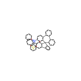 c1ccc(N(c2ccccc2)c2ccc3c(c2)C2(c4ccccc4-c4ccccc4-3)c3ccccc3-c3cc4sc5ccccc5c4cc32)cc1